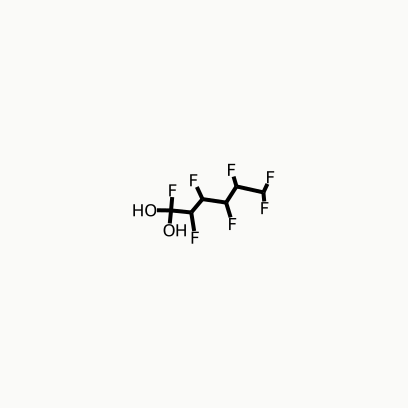 OC(O)(F)C(F)C(F)C(F)C(F)C(F)F